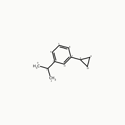 CC(C)c1cc[c]c(C2CC2)c1